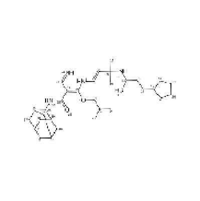 CC(C)CO/C(N/C=C/C(C)(C)NC(O)CCC1CCCC1)=C(/C=N)C(=O)NC1C2CC3CC(C2)CC1C3